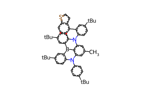 Cc1cc2c3c(c1)N(c1ccc(C(C)(C)C)cc1-c1cccc4sccc14)c1ccc(C(C)(C)C)cc1B3c1cc(C(C)(C)C)ccc1N2c1ccc(C(C)(C)C)cc1